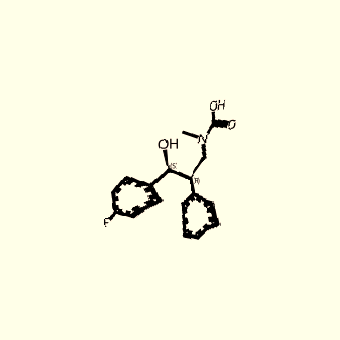 CN(C[C@@H](c1ccccc1)[C@H](O)c1ccc(F)cc1)C(=O)O